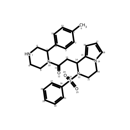 Cc1ccc(C2CNCCN2C(=O)CC2c3cccn3CCN2S(=O)(=O)c2ccccc2)cc1